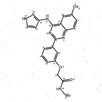 Cc1ccc2nc(-c3cccc(OCC(=O)NC(C)(C)C)c3)nc(Nc3cc[nH]n3)c2c1